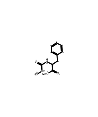 COC(=O)C(Cc1ccccc1)NC(=O)OO